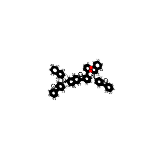 c1ccc(-c2c(N(c3ccc4c(c3)CCCC4)c3ccc4c(c3)oc3ccccc34)ccc3c2oc2cc4cc(N(c5ccc6c(c5)CCCC6)c5ccc6c(c5)oc5ccccc56)ccc4cc23)cc1